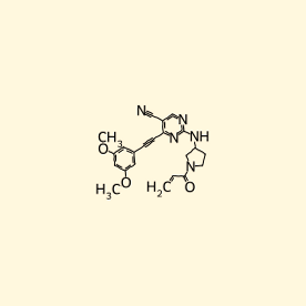 C=CC(=O)N1CCC(Nc2ncc(C#N)c(C#Cc3cc(OC)cc(OC)c3)n2)C1